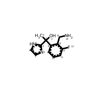 CC(O)(c1ncc[nH]1)c1cccc(F)c1CN